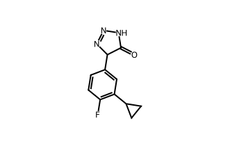 O=C1NN=NC1c1ccc(F)c(C2CC2)c1